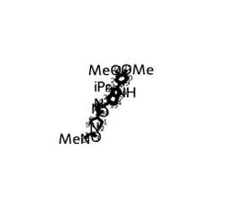 CNCC(=O)N1CCC(c2nnc(-c3ccc4[nH]c(-c5ccc(OC)c(OC)c5)c(C(C)C)c4c3)o2)CC1